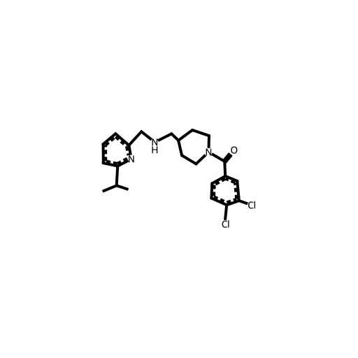 CC(C)c1cccc(CNCC2CCN(C(=O)c3ccc(Cl)c(Cl)c3)CC2)n1